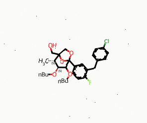 CCCCOC1[C@@H](OCCCC)[C@H](C)C2(CO)COC1(c1ccc(F)c(Cc3ccc(Cl)cc3)c1)O2